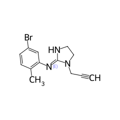 C#CCN1CCN/C1=N\c1cc(Br)ccc1C